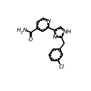 NC(=O)c1ccnc(-c2c[nH]c(Cc3cccc(Cl)c3)n2)c1